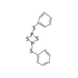 c1ccc(SP2SP(Sc3ccccc3)S2)cc1